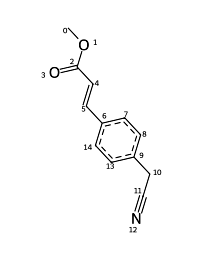 COC(=O)/C=C/c1ccc(CC#N)cc1